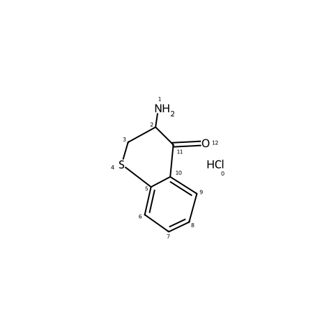 Cl.NC1CSc2ccccc2C1=O